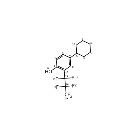 Oc1ccc(C2CCCCC2)cc1C(F)(F)C(F)(F)C(F)(F)F